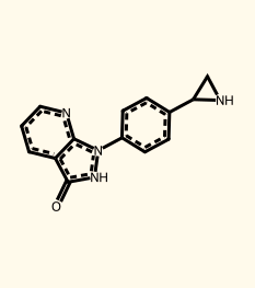 O=c1[nH]n(-c2ccc(C3CN3)cc2)c2ncccc12